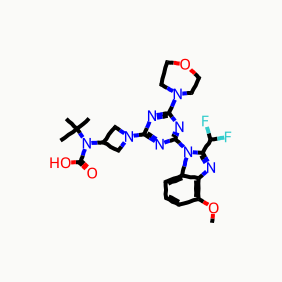 COc1cccc2c1nc(C(F)F)n2-c1nc(N2CCOCC2)nc(N2CC(N(C(=O)O)C(C)(C)C)C2)n1